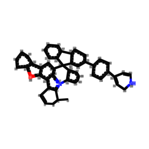 CC1CC=Cc2c1n1c3c(cc4c5ccccc5oc4c23)C2(c3ccccc3-c3ccc(-c4ccc(C5=CCNC=C5)cc4)cc32)c2ccccc2-1